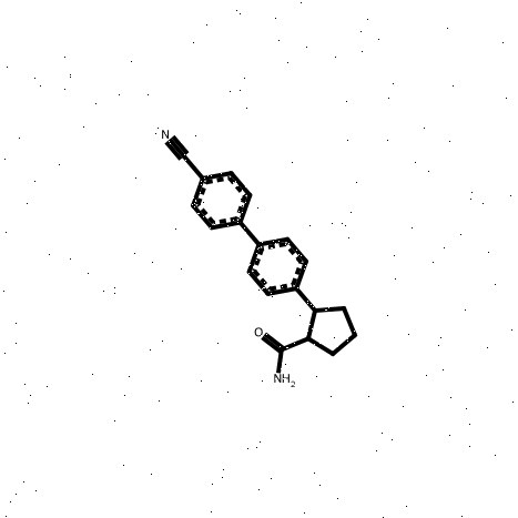 N#Cc1ccc(-c2ccc(C3CCCC3C(N)=O)cc2)cc1